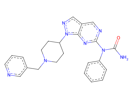 NC(=O)N(c1ccccc1)c1ncc2cnn(C3CCN(Cc4cccnc4)CC3)c2n1